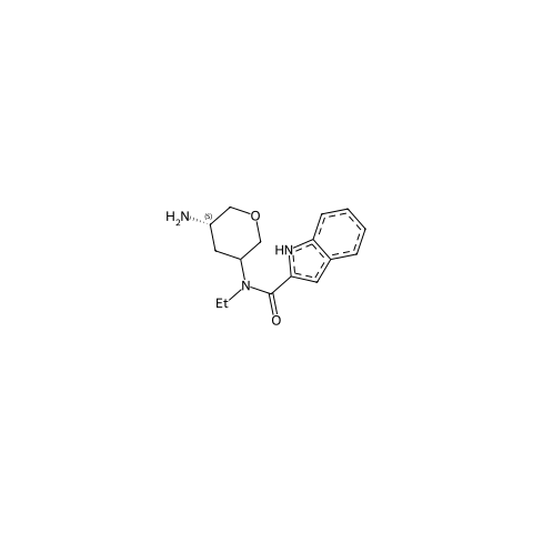 CCN(C(=O)c1cc2ccccc2[nH]1)C1COC[C@@H](N)C1